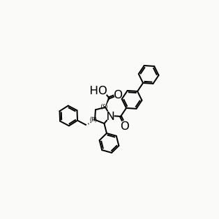 O=C(O)[C@@H]1C[C@@H](Cc2ccccc2)C(c2ccccc2)N1C(=O)c1ccc(-c2ccccc2)cc1